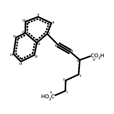 O=C(O)CCCC(C#Cc1cccc2ccccc12)C(=O)O